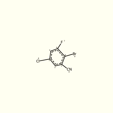 N#Cc1cc(Cl)cc(F)c1Br